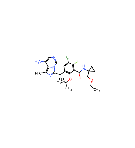 CCOCC1(NC(=O)c2c(F)c(Cl)cc([C@H](C)c3nc(C)c4c(N)cncn34)c2OC(C)C)CC1